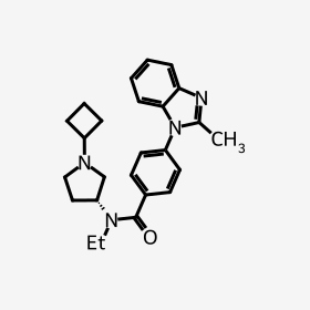 CCN(C(=O)c1ccc(-n2c(C)nc3ccccc32)cc1)[C@@H]1CCN(C2CCC2)C1